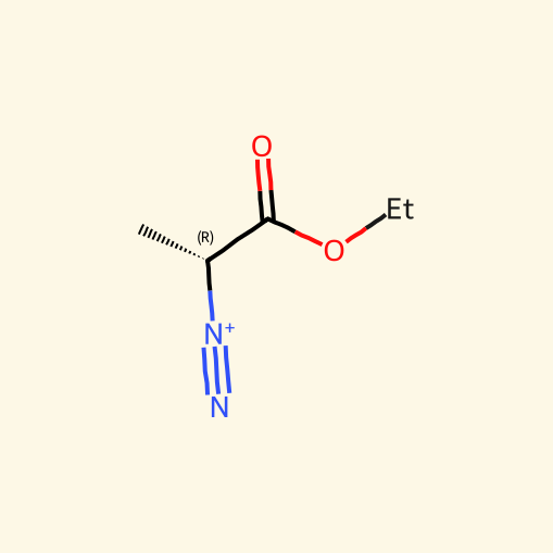 CCOC(=O)[C@@H](C)[N+]#N